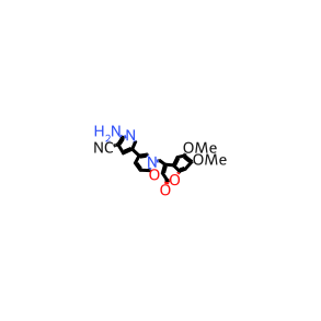 COc1cc2oc(=O)cc(Cn3cc(-c4cnc(N)c(C#N)c4)ccc3=O)c2cc1OC